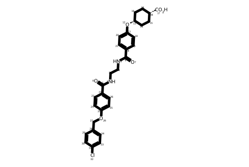 O=C(NCCNC(=O)c1ccc(O[C@H]2CC[C@@H](C(=O)O)CC2)cc1)c1ccc(OCc2ccc(Cl)cc2)cc1